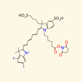 C[N+]1=C(/C=C/C=C/C=C/C=C2\N(CCCCCC(=O)ON3C(=O)CCC3=O)c3ccc(S(=O)(=O)O)cc3C2(C)CCCCS(=O)(=O)O)C(C)(C)c2c(I)cc(I)cc21